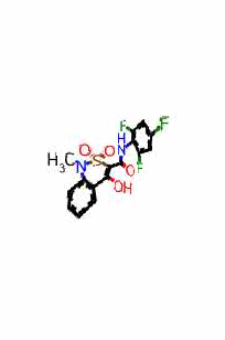 CN1c2ccccc2C(O)=C(C(=O)Nc2c(F)cc(F)cc2F)S1(=O)=O